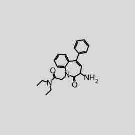 CCN(CC)C(=O)CN1C(=O)C(N)C=C(c2ccccc2)c2ccccc21